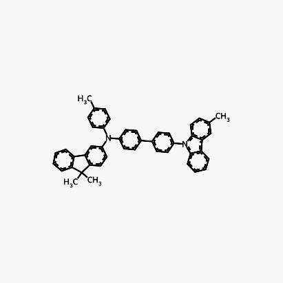 Cc1ccc(N(c2ccc(-c3ccc(-n4c5ccccc5c5cc(C)ccc54)cc3)cc2)c2ccc3c(c2)-c2ccccc2C3(C)C)cc1